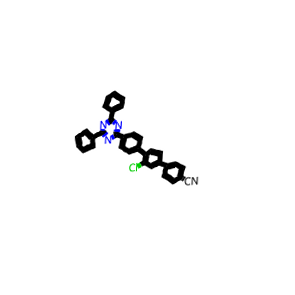 N#Cc1ccc(-c2ccc(-c3ccc(-c4nc(-c5ccccc5)nc(-c5ccccc5)n4)cc3)c(Cl)c2)cc1